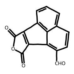 O=Cc1ccc2cccc3c2c1C1=C3C(=O)OC1=O